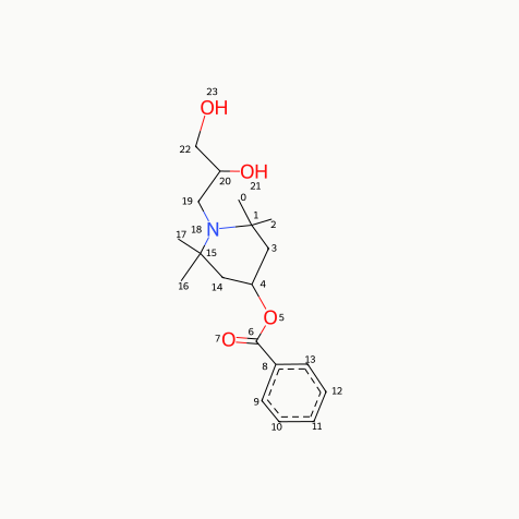 CC1(C)CC(OC(=O)c2ccccc2)CC(C)(C)N1CC(O)CO